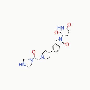 O=C1CCC(N2Cc3cc(C4CCN(CC(=O)N5CCNCC5)CC4)ccc3C2=O)C(=O)N1